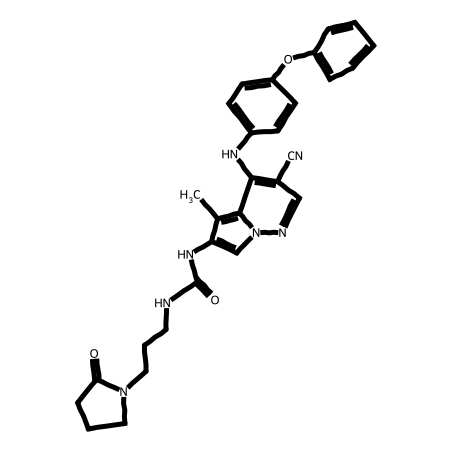 Cc1c(NC(=O)NCCCN2CCCC2=O)cn2ncc(C#N)c(Nc3ccc(Oc4ccccc4)cc3)c12